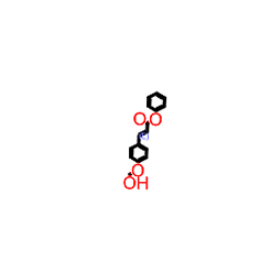 O=C(/C=C/c1ccc(OCO)cc1)Oc1ccccc1